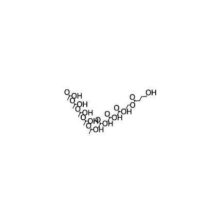 CC(=O)O.CC(=O)O.CC(=O)O.CC(=O)O.CC(=O)O.CC(=O)O.CC(=O)O.CC(=O)O.CCOC(=O)CCCO